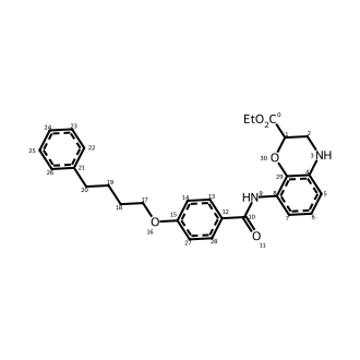 CCOC(=O)C1CNc2cccc(NC(=O)c3ccc(OCCCCc4ccccc4)cc3)c2O1